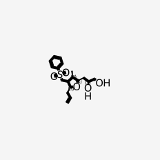 C=CC[C@@H]1O[C@H](C[C@H](O)CO)[C@H](C)C1CS(=O)(=O)c1ccccc1